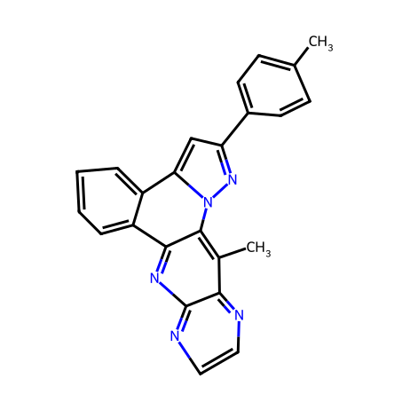 Cc1ccc(-c2cc3c4ccccc4c4nc5nccnc5c(C)c4n3n2)cc1